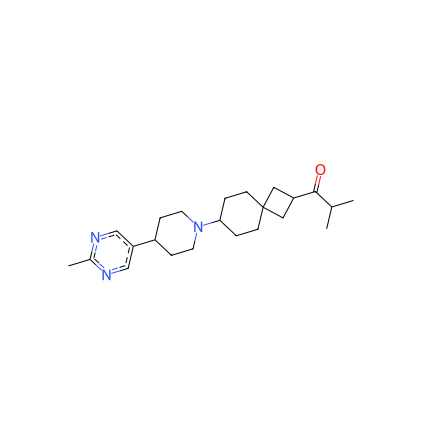 Cc1ncc(C2CCN(C3CCC4(CC3)CC(C(=O)C(C)C)C4)CC2)cn1